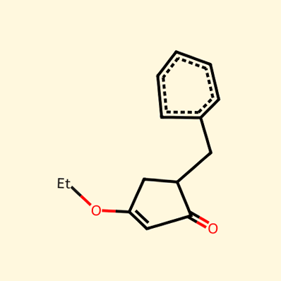 CCOC1=CC(=O)C(Cc2ccccc2)C1